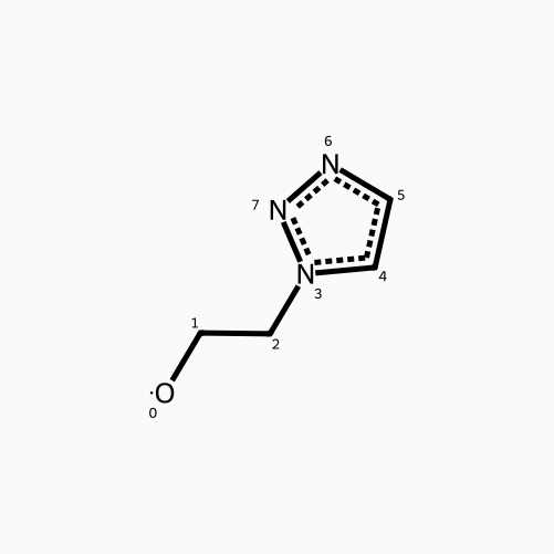 [O]CCn1ccnn1